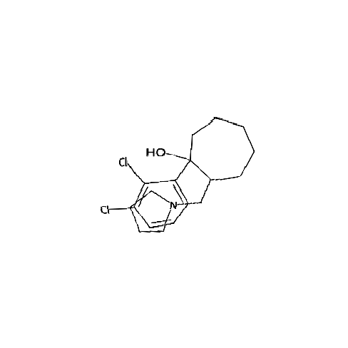 OC1(c2cccc(Cl)c2Cl)CCCCCC1CN1CCCC1